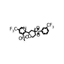 CC1(S(=O)(=O)c2cccc(C(F)(F)F)c2)CCOC(c2ncc(C(F)(F)F)cc2S(C)(=O)=O)C1